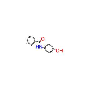 O=C(Nc1ccc(O)cc1)c1c[c]c[c]c1